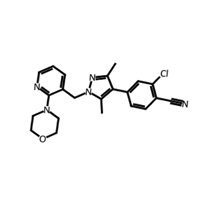 Cc1nn(Cc2cccnc2N2CCOCC2)c(C)c1-c1ccc(C#N)c(Cl)c1